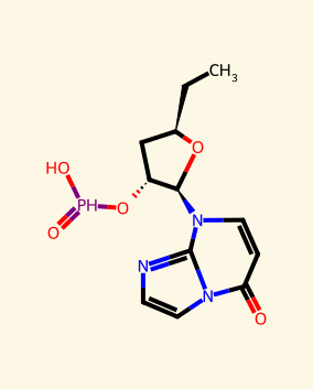 CC[C@@H]1C[C@@H](O[PH](=O)O)[C@H](n2ccc(=O)n3ccnc23)O1